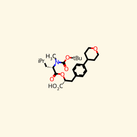 CC(C)C[C@@H](C(=O)O[C@H](Cc1ccc(C2CCOCC2)cc1)C(=O)O)N(C)C(=O)OC(C)(C)C